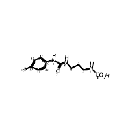 O=C(O)NCCCNC(=O)Nc1ccc(I)cc1